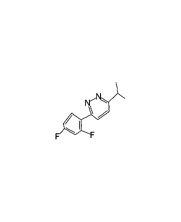 CC(C)c1ccc(-c2ccc(F)cc2F)nn1